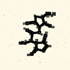 CCCCC(C(=O)ON1C(=O)CC(S(=O)(=O)O)C1=O)N1C(=O)C=CC1=O